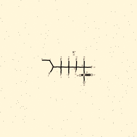 CCC(F)C(F)(F)C(F)(F)C(F)(F)C(F)(F)S(=O)(=O)[O-].[K+]